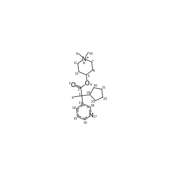 CC(C(=O)OC1CC[N+](C)(C)CC1)(c1cccnc1)C1CCCC1